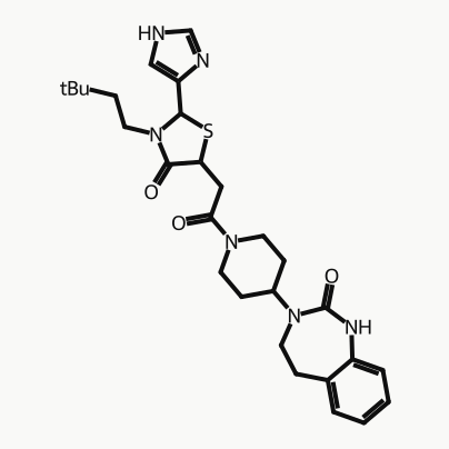 CC(C)(C)CCN1C(=O)C(CC(=O)N2CCC(N3CCc4ccccc4NC3=O)CC2)SC1c1c[nH]cn1